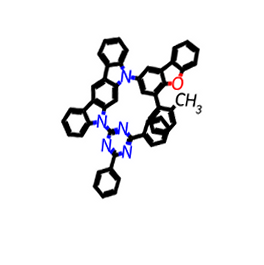 Cc1ccccc1-c1cc(-n2c3ccccc3c3cc4c5ccccc5n(-c5nc(-c6ccccc6)nc(-c6ccccc6)n5)c4cc32)cc2c1oc1ccccc12